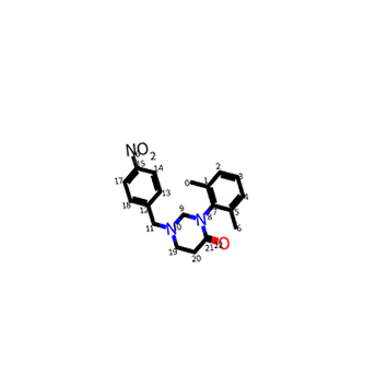 Cc1cccc(C)c1N1CN(Cc2ccc([N+](=O)[O-])cc2)CCC1=O